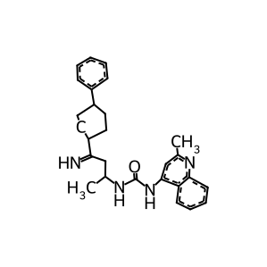 Cc1cc(NC(=O)NC(C)CC(=N)C2CCC(c3ccccc3)CC2)c2ccccc2n1